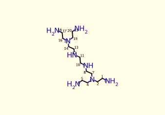 NCCN(CCN)CCNCCNCCN(CCN)CCN